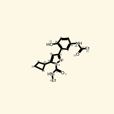 CCNC(=O)n1nc(-c2cc(NC(=O)CC)ccc2O)cc1C1CCC1